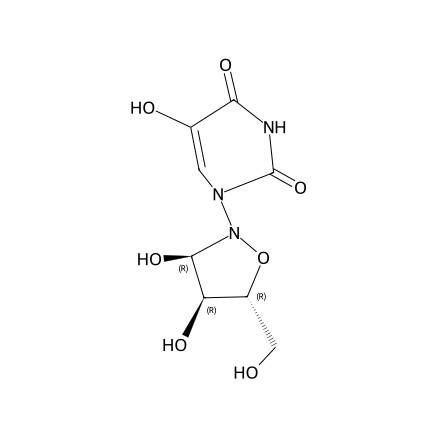 O=c1[nH]c(=O)n(N2O[C@H](CO)[C@@H](O)[C@H]2O)cc1O